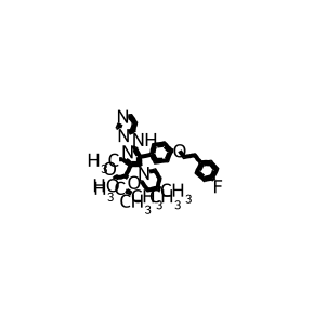 Cc1nc(Nc2ccncn2)c(-c2ccc(OCCc3ccc(F)cc3)cc2)c(N2CCC(C)(C)CC2)c1C(OC(C)(C)C)C(=O)O